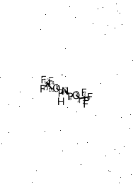 FC(F)(F)COP=NPOCC(F)(F)F